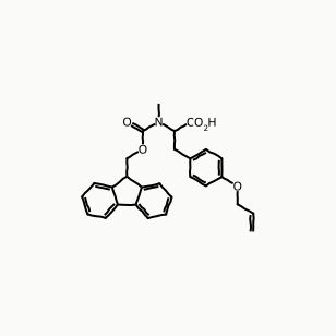 C=CCOc1ccc(CC(C(=O)O)N(C)C(=O)OCC2c3ccccc3-c3ccccc32)cc1